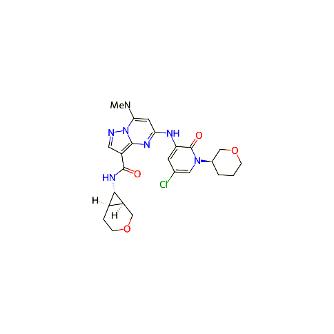 CNc1cc(Nc2cc(Cl)cn([C@@H]3CCCOC3)c2=O)nc2c(C(=O)N[C@H]3[C@@H]4CCOC[C@@H]43)cnn12